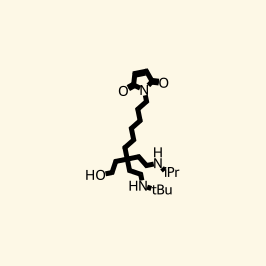 CC(C)NCCC(CCO)(CCCCCCN1C(=O)C=CC1=O)CCNC(C)(C)C